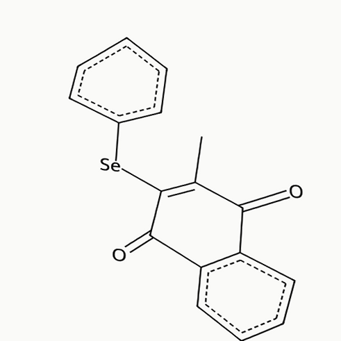 CC1=C([Se]c2ccccc2)C(=O)c2ccccc2C1=O